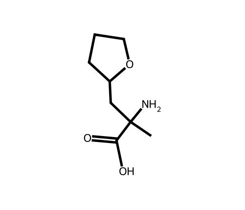 CC(N)(CC1CCCO1)C(=O)O